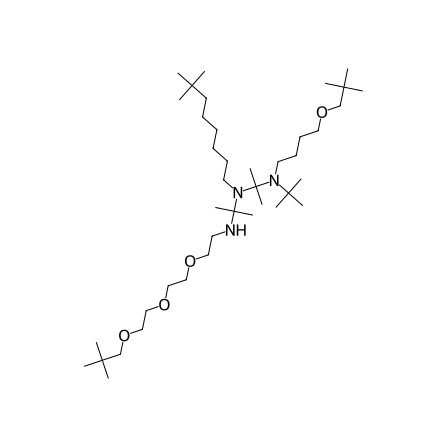 CC(C)(C)CCCCCCN(C(C)(C)NCCOCCOCCOCC(C)(C)C)C(C)(C)N(CCCCOCC(C)(C)C)C(C)(C)C